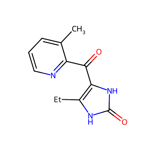 CCc1[nH]c(=O)[nH]c1C(=O)c1ncccc1C